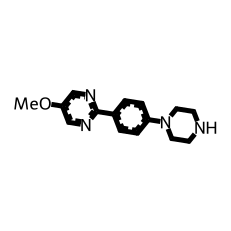 COc1cnc(-c2ccc(N3CCNCC3)cc2)nc1